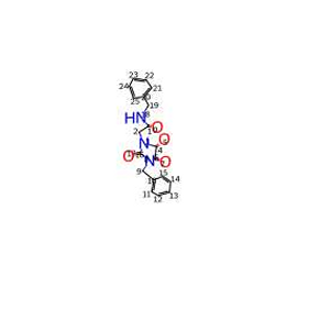 O=C(CN1C(=O)C(=O)N(Cc2ccccc2)C1=O)NCc1ccccc1